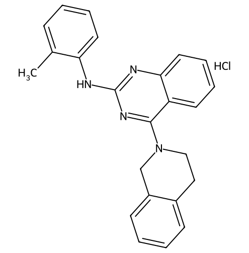 Cc1ccccc1Nc1nc(N2CCc3ccccc3C2)c2ccccc2n1.Cl